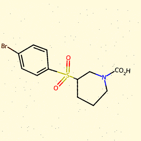 O=C(O)N1CCCC(S(=O)(=O)c2ccc(Br)cc2)C1